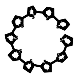 c1csc(-c2ccc(-c3ccc(-c4ccc(-c5ccc(-c6ccc(-c7ccc(-c8ccc(-c9ccc(-c%10cccs%10)s9)s8)s7)s6)s5)s4)s3)s2)c1